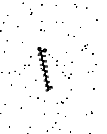 CC(C)CCCCCCCCCCCCCC([O])=O